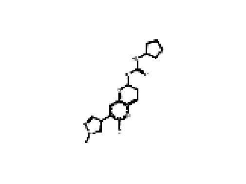 CN1CC(c2cc3c(nc2Cl)=CCC(NC(=O)NC2CCCC2)N=3)C=N1